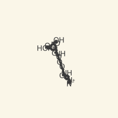 [N-]=[N+]=Nc1ccc(C(=O)NCCCOCCOCCOCNC(=O)CN2CCN(CC(=O)O)CCN(CC(=O)O)CC2)cc1